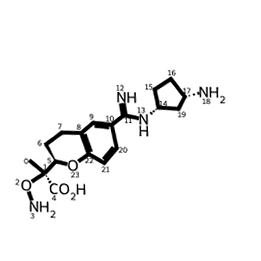 C[C@@](ON)(C(=O)O)[C@H]1CCc2cc(C(=N)N[C@@H]3CC[C@H](N)C3)ccc2O1